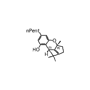 CCCCCc1cc(O)c2c(c1)O[C@]1(C)CCC3=C1[C@@H]2C3(C)C